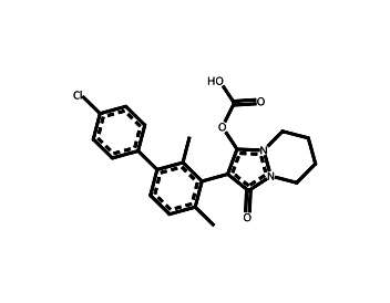 Cc1ccc(-c2ccc(Cl)cc2)c(C)c1-c1c(OC(=O)O)n2n(c1=O)CCCC2